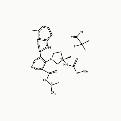 Cc1cccc2[nH]c(-c3cncc(C(=O)N[C@@H](C)C(F)(F)F)c3N3CC[C@](C)(NC(=O)OC(C)(C)C)C3)nc12.O=C(O)C(F)(F)F